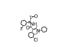 CC1=C(C(=O)N[C@@H](c2cccc(F)c2)C2CC2=O)c2cccc(Cl)c2CN1c1ccccc1